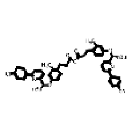 CCCC[C@H](Oc1ccc(CCC(=O)OC(=O)CCc2ccc(O[C@@H](CCCC)c3cccc(-c4ccc(C#N)cc4)n3)cc2C)c(C)c1)c1cccc(-c2ccc(Cl)cc2)n1